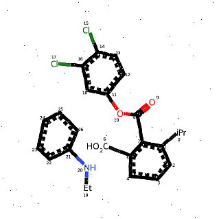 CC(C)c1cccc(C(=O)O)c1C(=O)Oc1ccc(Cl)c(Cl)c1.CCNc1ccccc1